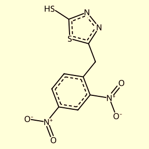 O=[N+]([O-])c1ccc(Cc2nnc(S)s2)c([N+](=O)[O-])c1